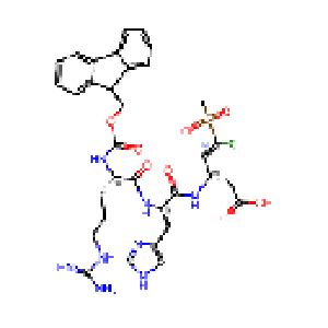 CS(=O)(=O)/C(Cl)=C/[C@H](CC(=O)O)NC(=O)[C@@H](Cc1c[nH]cn1)NC(=O)[C@H](CCCNC(=N)N)NC(=O)OCC1c2ccccc2-c2ccccc21